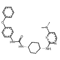 CN(C)c1ccnc(N[C@H]2CC[C@@H](NC(=O)Nc3ccc(Oc4ccccc4)cc3)CC2)n1